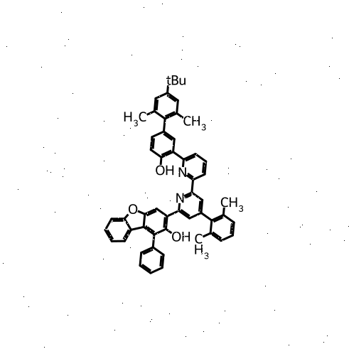 Cc1cccc(C)c1-c1cc(-c2cccc(-c3cc(-c4c(C)cc(C(C)(C)C)cc4C)ccc3O)n2)nc(-c2cc3oc4ccccc4c3c(-c3ccccc3)c2O)c1